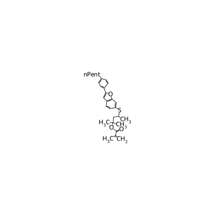 C=C(C)C(=O)OC(C)(C)CC(C)Sc1ccc2cc(-c3ccc(CCCCC)cc3)oc2c1